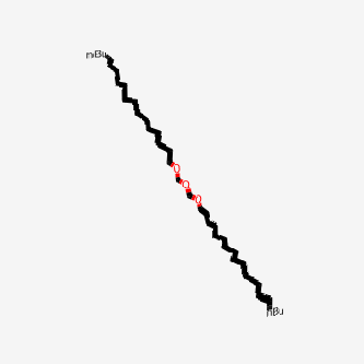 CCCCC=CCCCCCCCCC=CCCOCOCOCCC=CCCCCCCCCC=CCCCC